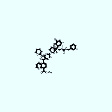 COC(=O)c1ccc(-c2nn(C3CCCCO3)c3nc(N4CC[C@@H]5[C@H](C4)[C@@]5(CNC(=O)OCc4ccccc4)c4cccc(F)c4F)cnc23)c2cccnc12